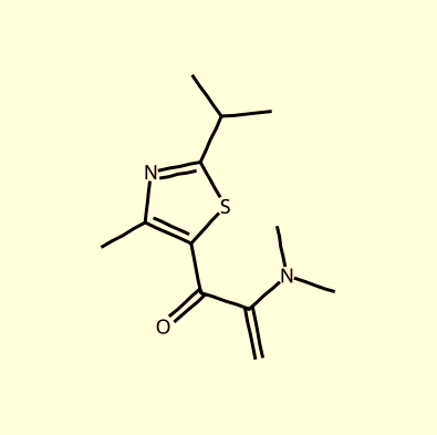 C=C(C(=O)c1sc(C(C)C)nc1C)N(C)C